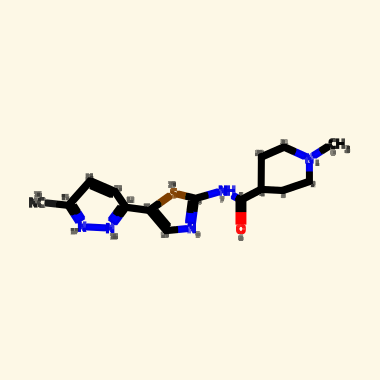 CN1CCC(C(=O)Nc2ncc(-c3ccc(C#N)nn3)s2)CC1